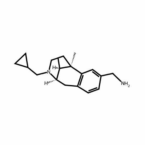 C[C@@H]1[C@H]2Cc3ccc(CN)cc3[C@]1(C)CCN2CC1CC1